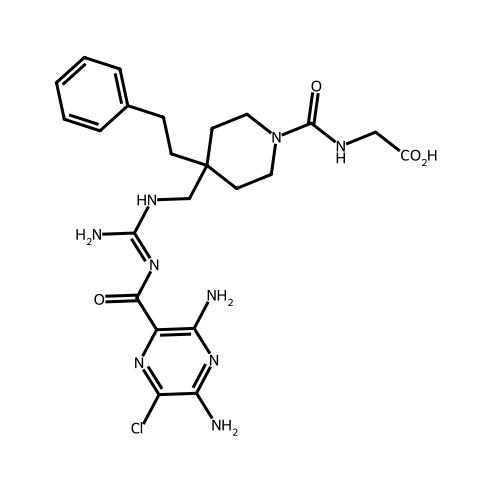 N/C(=N\C(=O)c1nc(Cl)c(N)nc1N)NCC1(CCc2ccccc2)CCN(C(=O)NCC(=O)O)CC1